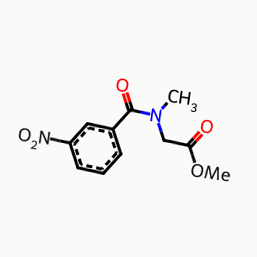 COC(=O)CN(C)C(=O)c1cccc([N+](=O)[O-])c1